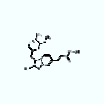 CCC(CC)CN(CC)CC1C(C)N=C2C=C(/C=C/C(=O)NO)C=CN21